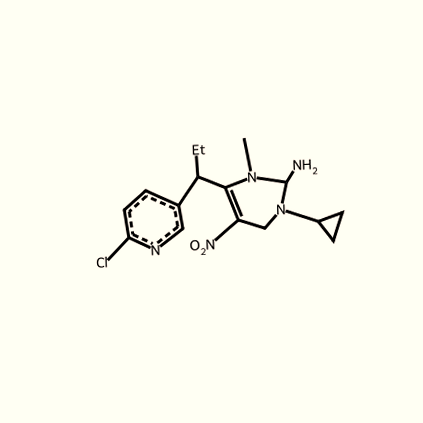 CCC(C1=C([N+](=O)[O-])CN(C2CC2)C(N)N1C)c1ccc(Cl)nc1